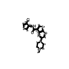 CN1CCN(c2cnc3scc(C(=O)Nc4cscc4Cl)c3n2)CC1